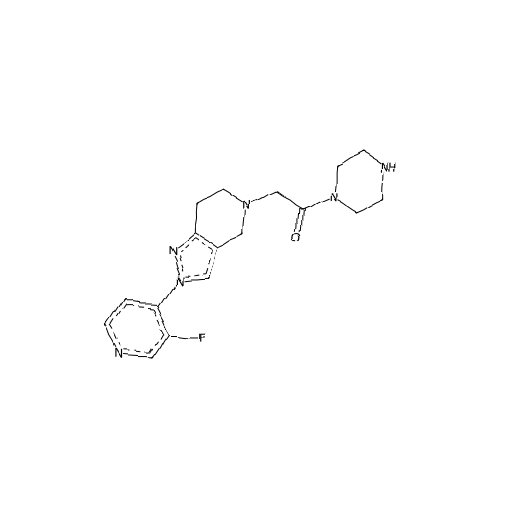 O=C(CN1CCc2nn(-c3ccncc3F)cc2C1)N1CCNCC1